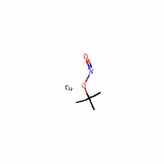 CC(C)(C)ON=O.[Cu]